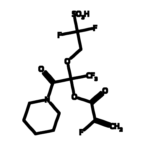 C=C(F)C(=O)OC(OCC(F)(F)S(=O)(=O)O)(C(=O)N1CCCCC1)C(F)(F)F